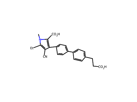 CCc1c(C#N)c(-c2ccc(-c3ccc(CCC(=O)O)cc3)cc2)c(C(=O)O)n1C